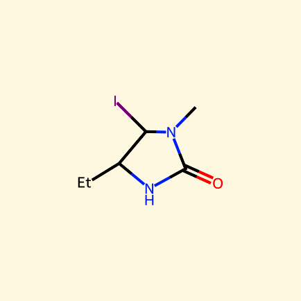 CCC1NC(=O)N(C)C1I